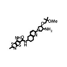 COC(C)(C)COC1CN(c2ccc3c(n2)CCC(NC(=O)c2sc4nc(C)sc4c2N)C3)CC1N